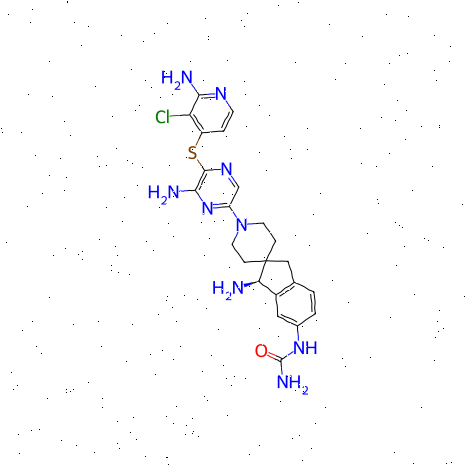 NC(=O)Nc1ccc2c(c1)[C@@H](N)C1(CCN(c3cnc(Sc4ccnc(N)c4Cl)c(N)n3)CC1)C2